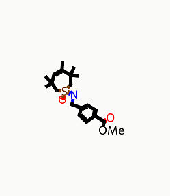 COC(=O)c1ccc(CN=S2(=O)CC(C)(C)C=C(C)C(C)(C)C2)cc1